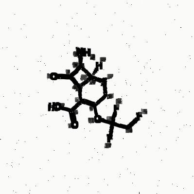 N[C@@H]1C(=O)N2C(C(=O)O)=C(OC(F)(F)CF)CS[C@H]12